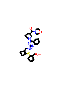 O=C(C1CCCN(c2nc(NCc3ccccc3Sc3ccccc3CO)nc3ccccc23)C1)N1CCOCC1